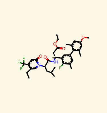 CCOC(=O)C[C@H](NC(=O)C(CC(C)C)n1cc(CC)c(C(F)(F)F)cc1=O)c1cc(-c2c(C)cc(OC)cc2C)cc(C)c1F